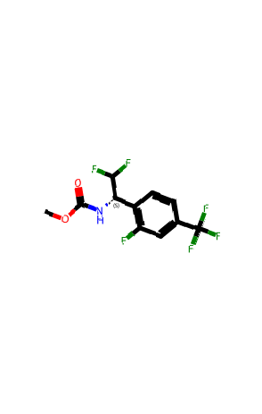 COC(=O)N[C@@H](c1ccc(C(F)(F)F)cc1F)C(F)F